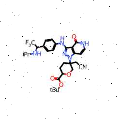 CC(C)NC(c1ccc(Nc2nn(C3(CC#N)CCC(C(=O)OC(C)(C)C)OC3)c3cc[nH]c(=O)c23)cc1)C(F)(F)F